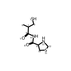 CC(CS)C(=O)NC(=O)C1CS[CH]N1